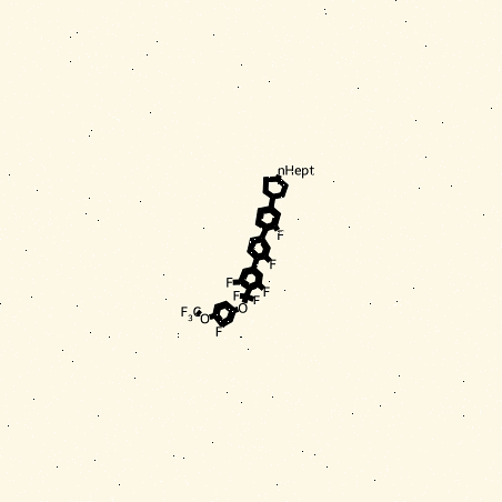 CCCCCCCC1CCC(c2ccc(-c3ccc(-c4cc(F)c(C(F)(F)Oc5ccc(OC(F)(F)F)c(F)c5)c(F)c4)c(F)c3)c(F)c2)CC1